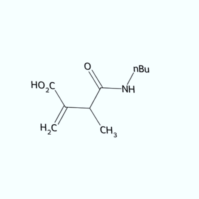 C=C(C(=O)O)C(C)C(=O)NCCCC